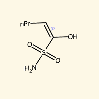 CCC/C=C(/O)S(N)(=O)=O